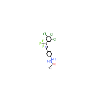 O=C(NNc1ccc(/C=C/C(c2cc(Cl)c(Cl)c(Cl)c2)C(F)(F)F)cc1)C1CC1